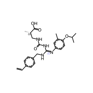 C=Cc1ccc(CN/C(=N/c2ccc(OC(C)C)c(C)c2)NC(=O)NC[C@H](C)C(=O)O)cc1